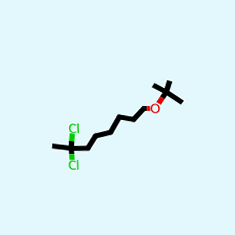 CC(Cl)(Cl)CCCCCCOC(C)(C)C